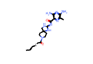 CCCCCC(=O)N1CCC2(CC1)CN/C(=N\C(=O)c1nc(C)c(N)nc1N)N2